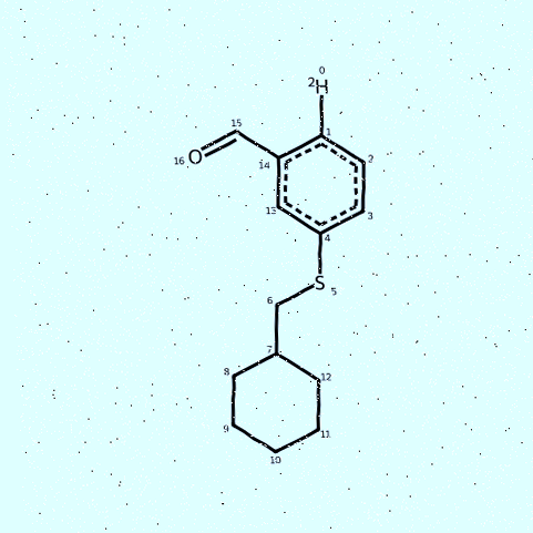 [2H]c1ccc(SCC2CCCCC2)cc1C=O